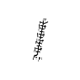 CCOC(=O)C=CC(F)(F)C(F)(F)C(F)(F)C(F)(F)C(F)(F)C(F)(F)C(F)(F)C(F)(F)C(F)(F)C(F)(F)C(F)(F)C(F)(F)F